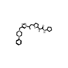 CC(CC1CCC([C@H](C)C(=O)NC2CCCC2)O1)n1cc(CN2CCN(c3ccccc3)CC2)nn1